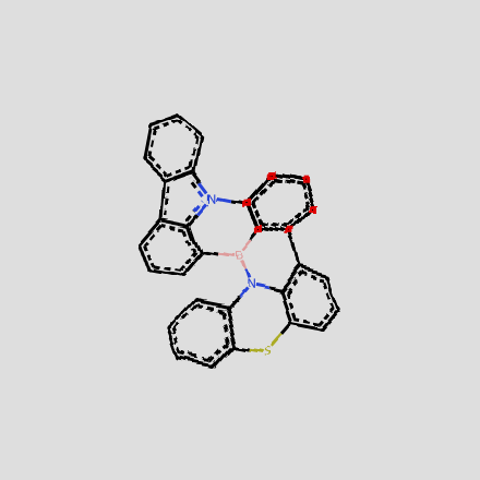 c1ccc(-c2cccc3c2N(B2c4ccccc4-n4c5ccccc5c5cccc2c54)c2ccccc2S3)cc1